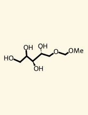 COCOC[C@@H](O)[C@@H](O)C(O)CO